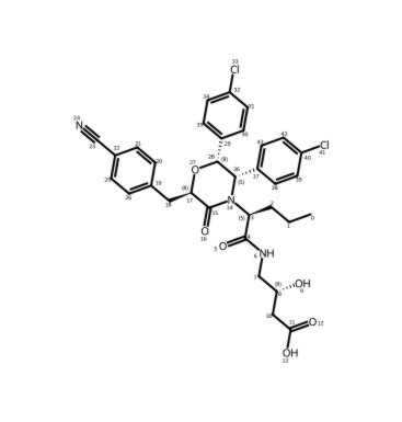 CCC[C@@H](C(=O)NC[C@H](O)CC(=O)O)N1C(=O)[C@@H](Cc2ccc(C#N)cc2)O[C@H](c2ccc(Cl)cc2)[C@@H]1c1ccc(Cl)cc1